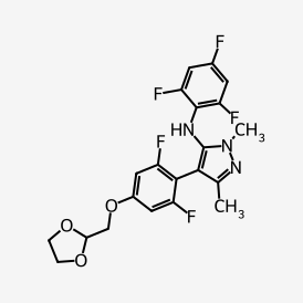 Cc1nn(C)c(Nc2c(F)cc(F)cc2F)c1-c1c(F)cc(OCC2OCCO2)cc1F